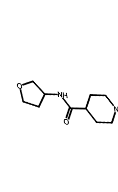 O=C(NC1CCOC1)C1CCNCC1